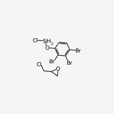 ClCC1CO1.Cl[SiH2]Oc1ccc(Br)c(Br)c1Br